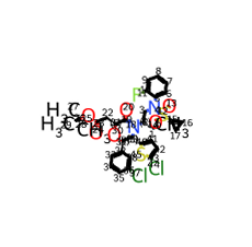 CC[C@@H](CN(c1ccccc1F)S(=O)(=O)C1CC1)N1C(=O)[C@H](CC(=O)OC(C)(C)C)O[C@H](c2cccc(Cl)c2)[C@H]1c1ccc(Cl)s1